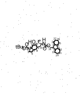 CC(C)(C)OC(=O)n1ccc2cc(C[C@@H](NC(=O)OCC3c4ccccc4-c4ccccc43)C(=O)O)ccc21